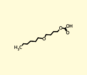 CCCCCCOCCCCOC(=O)O